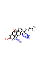 CC(C)CCCC(CN=[N+]=[N-])C1CCC2[C@@H]3C(=O)C=C4C[C@@H](O)CC[C@]4(CN=[N+]=[N-])C3CC[C@]12CN=[N+]=[N-]